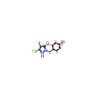 Cc1c(Cl)[nH]n(Cc2ccc(Br)cc2)c1=O